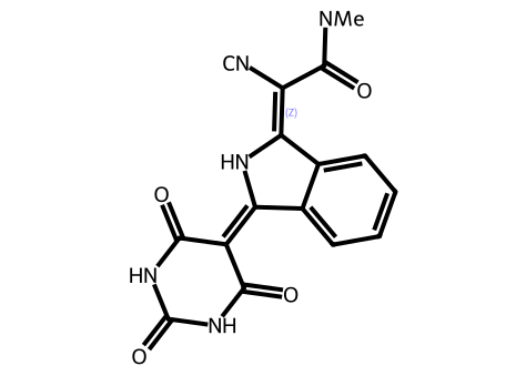 [C-]#[N+]/C(C(=O)NC)=c1\[nH]c(=C2C(=O)NC(=O)NC2=O)c2ccccc12